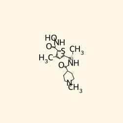 CC[C@H](NC(=O)C1CCN(C)CC1)c1cc(C)c(C(=O)NO)s1